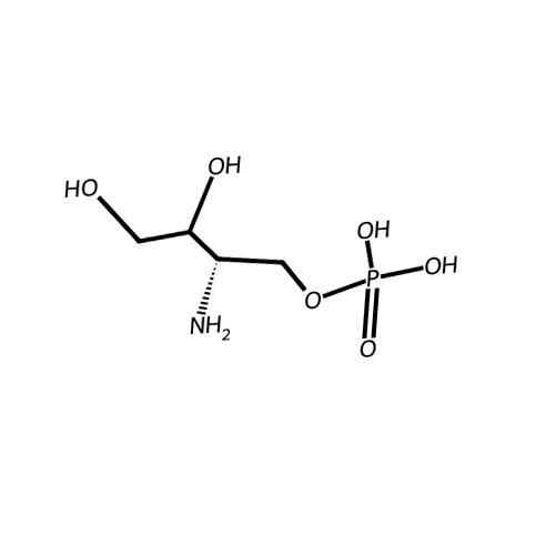 N[C@@H](COP(=O)(O)O)C(O)CO